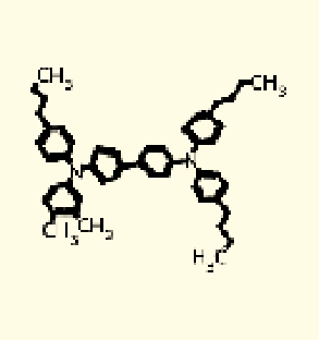 CCCCc1ccc(N(c2ccc(CCCC)cc2)c2ccc(-c3ccc(N(c4ccc(CCCC)cc4)c4ccc(C)c(C)c4)cc3)cc2)cc1